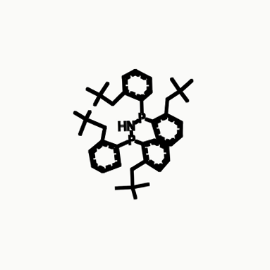 CC(C)(C)Cc1ccccc1P(NP(c1ccccc1CC(C)(C)C)c1ccccc1CC(C)(C)C)c1ccccc1CC(C)(C)C